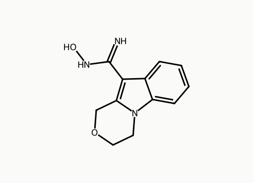 N=C(NO)c1c2n(c3ccccc13)CCOC2